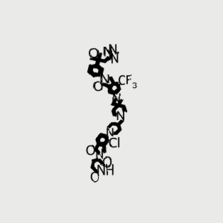 Cn1cnnc1CC1(c2cccc(N3Cc4c(cc(N5CC6(CCN(CC7CCN(c8ccc9c(c8Cl)CN(C8CCC(=O)NC8=O)C9=O)CC7)CC6)C5)cc4C(F)(F)F)C3=O)c2)COC1